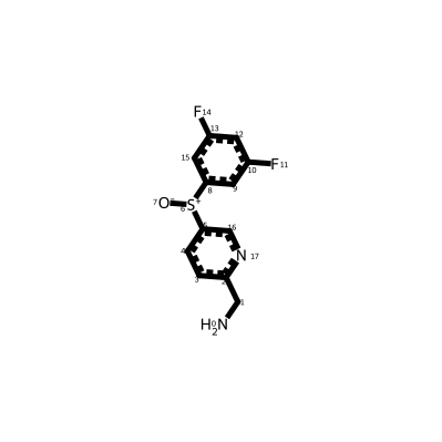 NCc1ccc([S+]([O-])c2cc(F)cc(F)c2)cn1